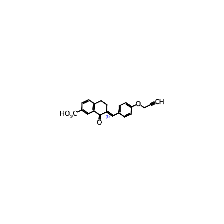 C#CCOc1ccc(/C=C2\CCc3ccc(C(=O)O)cc3C2=O)cc1